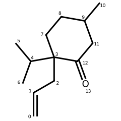 C=CCC1(C(C)C)CCC(C)CC1=O